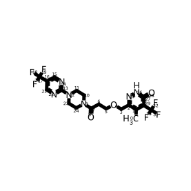 Cc1c(COCCC(=O)N2CCN(c3ncc(C(F)(F)F)cn3)CC2)n[nH]c(=O)c1C(F)(F)F